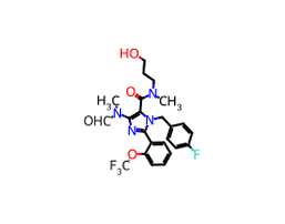 CN(CCCO)C(=O)c1c(N(C)C=O)nc(-c2ccccc2OC(F)(F)F)n1Cc1ccc(F)cc1